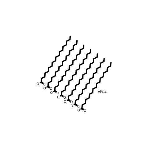 CCCCCCCCCCCCCCCCCC(=O)[O-].CCCCCCCCCCCCCCCCCC(=O)[O-].CCCCCCCCCCCCCCCCCC(=O)[O-].CCCCCCCCCCCCCCCCCC(=O)[O-].CCCCCCCCCCCCCCCCCC(=O)[O-].CCCCCCCCCCCCCCCCCC(=O)[O-].CCCCCCCCCCCCCCCCCC(=O)[O-].[Al+3].[Zr+4]